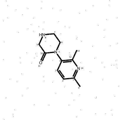 Cc1ccc(N2CCNCC2=O)c(C)n1